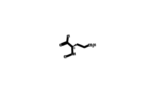 O=C(O)CC[C@H](NCl)C(=O)Cl